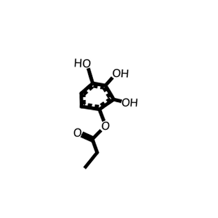 CCC(=O)Oc1ccc(O)c(O)c1O